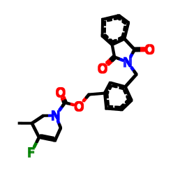 CC1CN(C(=O)OCc2cccc(CN3C(=O)c4ccccc4C3=O)c2)CC=C1F